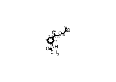 CC(=O)Nc1cccc(C(=O)COCC2CO2)c1